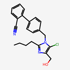 CCCCc1nc(CO)c(Cl)n1Cc1ccc(-c2ccccc2C#N)cc1